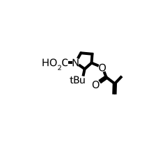 C=C(C)C(=O)OC1CCN(C(=O)O)C1C(C)(C)C